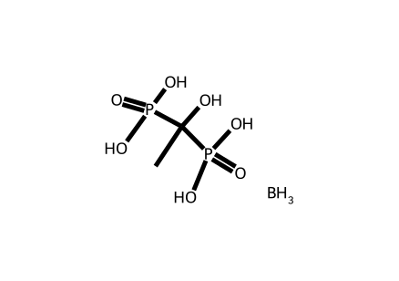 B.CC(O)(P(=O)(O)O)P(=O)(O)O